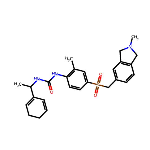 Cc1cc(S(=O)(=O)Cc2ccc3c(c2)CN(C)C3)ccc1NC(=O)NC(C)C1=CCCC=C1